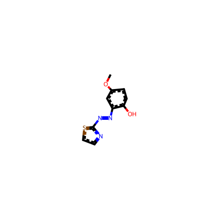 COc1ccc(O)c(N=Nc2nccs2)c1